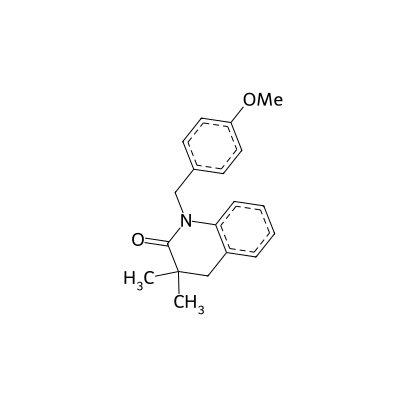 COc1ccc(CN2C(=O)C(C)(C)Cc3ccccc32)cc1